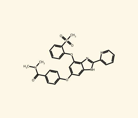 CN(C)C(=O)c1ccc(Oc2cc(Oc3ccccc3S(C)(=O)=O)c3nc(-c4ccccn4)[nH]c3c2)cc1